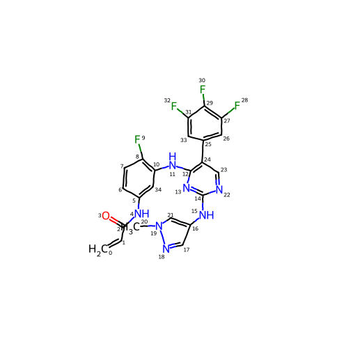 C=CC(=O)Nc1ccc(F)c(Nc2nc(Nc3cnn(C)c3)ncc2-c2cc(F)c(F)c(F)c2)c1